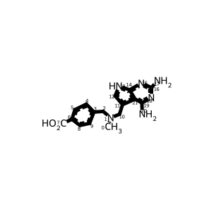 CN(Cc1ccc(C(=O)O)cc1)Cc1c[nH]c2nc(N)nc(N)c12